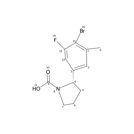 Cc1cc([C@@H]2CCCN2C(=O)O)cc(F)c1Br